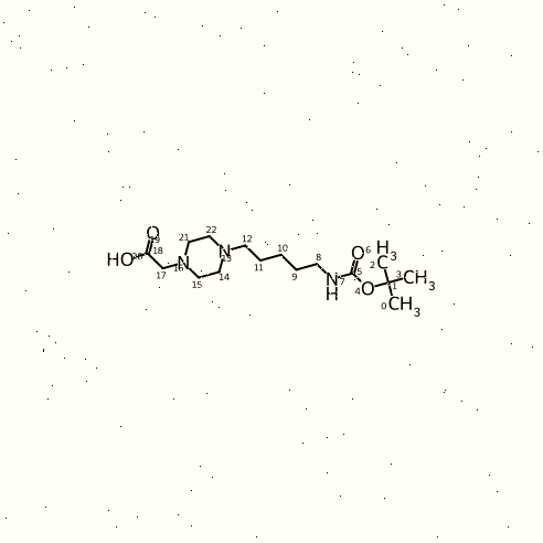 CC(C)(C)OC(=O)NCCCCCN1CCN(CC(=O)O)CC1